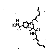 C=C/C=C\C=C(/C)CNC(=O)C1CN(C/C(C)=C/C=C\C=C)c2ccc(C(=O)NO)cc2O1